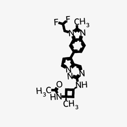 CC(=O)N[C@]1(C)C[C@@H](Nc2ncc3c(-c4ccc5nc(C)n(CC(F)F)c5c4)ccn3n2)C1